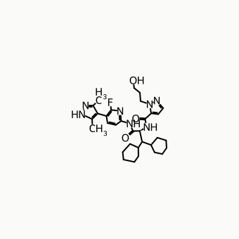 Cc1n[nH]c(C)c1-c1ccc(NC(=O)[C@@H](NC(=O)c2ccnn2CCCO)C(C2CCCCC2)C2CCCCC2)nc1F